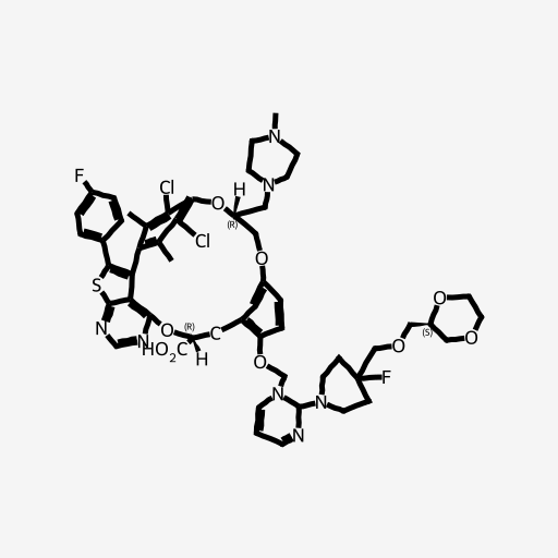 Cc1c(Cl)c2c(Cl)c(C)c1-c1c(-c3ccc(F)cc3)sc3ncnc(c13)O[C@@H](C(=O)O)Cc1cc(ccc1OCN1C=CC=NC1N1CCC(F)(COC[C@@H]3COCCO3)CC1)OC[C@@H](CN1CCN(C)CC1)O2